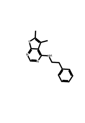 Cc1sc2ncnc(NCCc3ccccc3)c2c1C